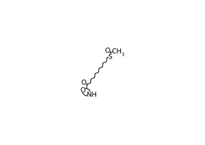 CC(=O)SCCCCCCCCCCC(=O)C1CNCCO1